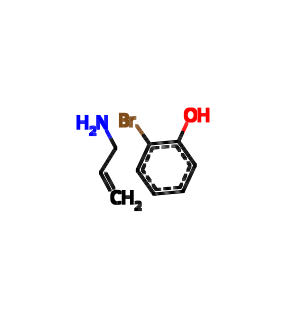 C=CCN.Oc1ccccc1Br